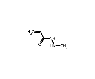 C=CC(=O)NBC